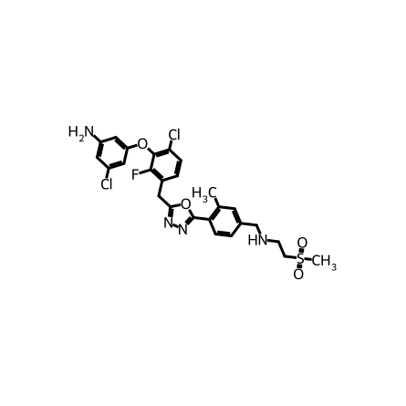 Cc1cc(CNCCS(C)(=O)=O)ccc1-c1nnc(Cc2ccc(Cl)c(Oc3cc(N)cc(Cl)c3)c2F)o1